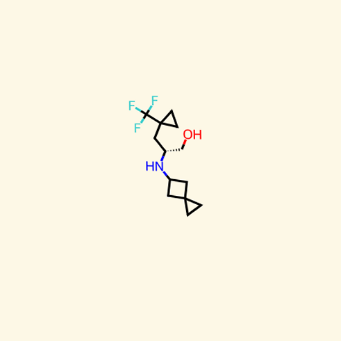 OC[C@@H](CC1(C(F)(F)F)CC1)NC1CC2(CC2)C1